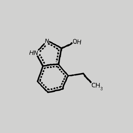 CCc1cccc2[nH]nc(O)c12